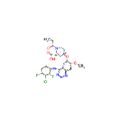 C=CC(=O)N1CC[C@@H](Oc2cc3c(Nc4ccc(F)c(Cl)c4F)ncnc3cc2OC)C[C@@H]1C(=O)O